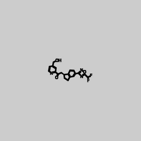 O=C(C[C@@H]1CCc2cc(-c3noc(C(F)F)n3)ccc21)c1cc(CO)ccn1